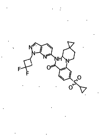 O=C(Nc1ccc2cnn(C3CC(F)(F)C3)c2n1)c1ccc(S(=O)(=O)C2CC2)cc1N1CCC2(CC1)CC2